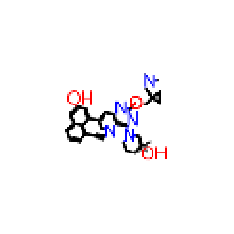 C#Cc1cccc2cc(O)cc(-c3cnc4c(N5CCC[C@@](C)(O)C5)nc(OCC5(CN(C)C)CC5)nc4c3)c12